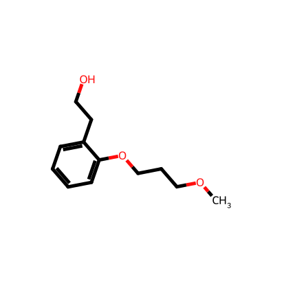 COCCCOc1ccccc1CCO